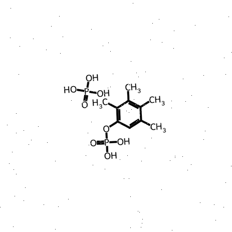 Cc1cc(OP(=O)(O)O)c(C)c(C)c1C.O=P(O)(O)O